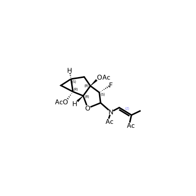 CC(=O)O[C@]12C[C@H]1C[C@@]1(OC(C)=O)[C@@H]2OC(N(/C=C(/C)C(C)=O)C(C)=O)[C@H]1F